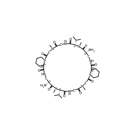 CC(C)[C@H]1C(=O)NCC(=O)N(C)CC(=O)N2CCCC[C@H]2C(=O)NC[C@@H](N)C(=O)N(C)[C@@H](C(C)C)C(=O)NCC(=O)N(C)CC(=O)N2CCCC[C@H]2C(=O)NC[C@@H](N)C(=O)N1C